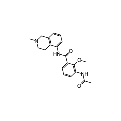 COc1c(NC(C)=O)cccc1C(=O)Nc1cccc2c1CCN(C)C2